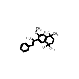 COc1cc2c(cc1C(C)=Cc1ccccc1)C(C)(C)CCC2(C)C